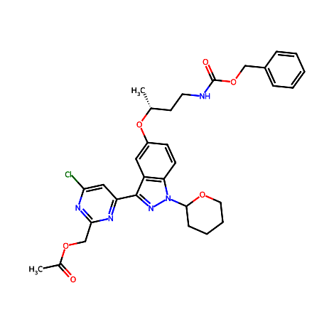 CC(=O)OCc1nc(Cl)cc(-c2nn(C3CCCCO3)c3ccc(O[C@H](C)CCNC(=O)OCc4ccccc4)cc23)n1